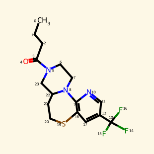 CCCC(=O)N1CCN2c3ncc(C(F)(F)F)cc3SCCC2C1